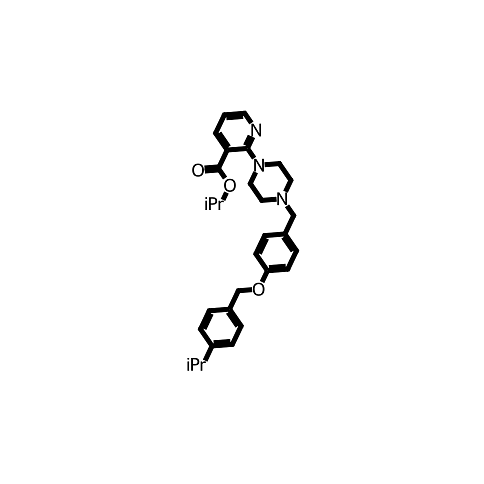 CC(C)OC(=O)c1cccnc1N1CCN(Cc2ccc(OCc3ccc(C(C)C)cc3)cc2)CC1